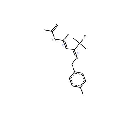 C=C(C)N/C(C)=C/C(=N\Cc1ccc(C)cc1)C(C)(C)F